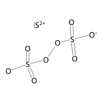 O=S(=O)([O-])OOS(=O)(=O)[O-].[S+2]